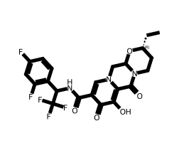 CC[C@@H]1CCN2C(=O)c3c(O)c(=O)c(C(=O)NC(c4ccc(F)cc4F)C(F)(F)F)cn3CC2O1